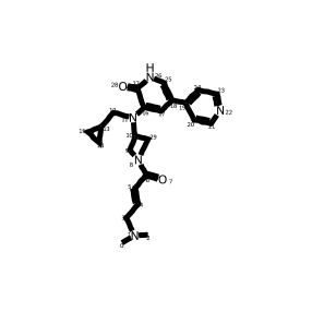 CN(C)C/C=C/C(=O)N1CC(N(CC2CC2)c2cc(-c3ccncc3)c[nH]c2=O)C1